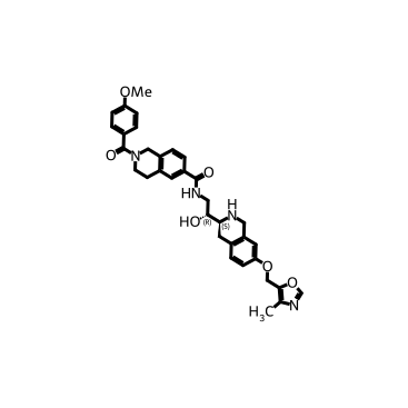 COc1ccc(C(=O)N2CCc3cc(C(=O)NC[C@@H](O)[C@@H]4Cc5ccc(OCc6ocnc6C)cc5CN4)ccc3C2)cc1